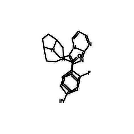 CC(C)c1ccc(-c2nc3ncccn3c2CN2C3CCC2CN(C(=O)c2ccccc2F)CC3)cc1